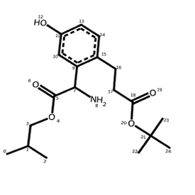 CC(C)COC(=O)C(N)c1cc(O)ccc1CCC(=O)OC(C)(C)C